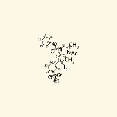 C=C(/C=C1\C(=C)N(C(C)=O)C(C)CN1C(=O)OC1CCCCC1)c1cccc(S(=O)(=O)CC)c1